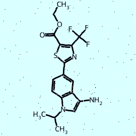 CCOC(=O)c1sc(-c2ccc3c(c2)c(N)cn3C(C)C)nc1C(F)(F)F